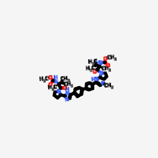 C=N/C=C(\NC1CCCN1C(=O)[C@@](C)(NC(=O)OC)C(C)C)c1ccc(-c2ccc(-c3cnc(C4CCCN4C(=O)[C@@](C)(NC(=O)OC)C(C)C)[nH]3)cc2)cc1